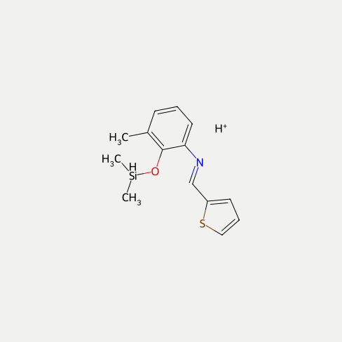 Cc1cccc(N=Cc2cccs2)c1O[SiH](C)C.[H+]